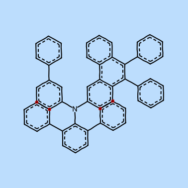 c1ccc(-c2cccc(N(c3ccc4c(-c5ccccc5)c(-c5ccccc5)c5ccccc5c4c3)c3c(-c4ccccc4)cccc3-c3ccccc3)c2)cc1